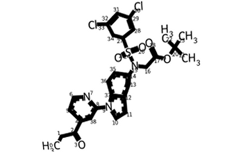 CCC(=O)c1ccnc(-n2ccc3cc(N(CC(=O)OC(C)(C)C)S(=O)(=O)C4C=C(Cl)C=C(Cl)C4)ccc32)c1